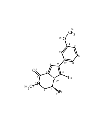 CC(C)[C@H]1CN(C)C(=O)c2cc(-c3cccc(OC(F)(F)F)c3)c(I)n21